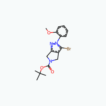 COc1ccccc1-n1nc2c(c1Br)CN(C(=O)OC(C)(C)C)C2